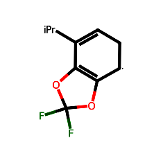 CC(C)C1=CC[CH]C2=C1OC(F)(F)O2